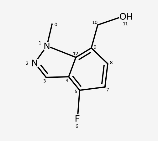 Cn1ncc2c(F)ccc(CO)c21